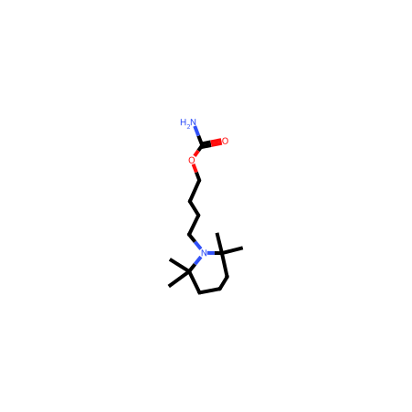 CC1(C)CCCC(C)(C)N1CCCCOC(N)=O